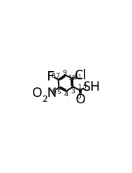 O=C(S)c1cc([N+](=O)[O-])c(F)cc1Cl